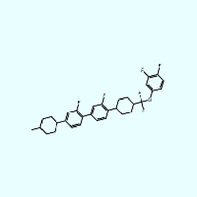 CC1CCC(c2ccc(-c3ccc(C4CCC(C(F)(F)Oc5ccc(F)c(F)c5)CC4)c(F)c3)c(F)c2)CC1